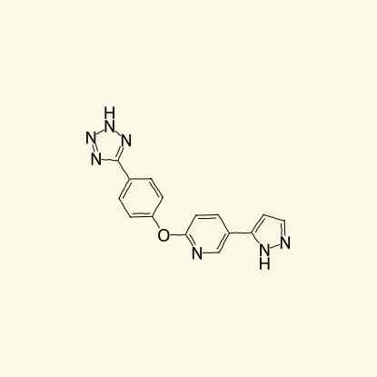 c1cc(-c2ccc(Oc3ccc(-c4nn[nH]n4)cc3)nc2)[nH]n1